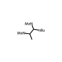 CCCCC(NC)C(C)NC